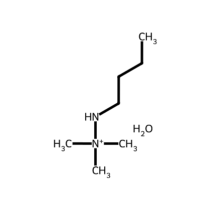 CCCCN[N+](C)(C)C.O